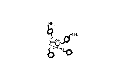 NCc1ccc(CO[C@H](COCc2ccccc2)[C@@H](O)[C@H](O)[C@@H](COCc2ccccc2)OCc2ccc(CN)cc2)cc1